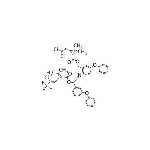 CC1(C)C(/C=C(\Cl)C(F)(F)F)C1C(=O)OC(C#N)c1cccc(Oc2ccccc2)c1.CC1(C)C(C=C(Cl)Cl)C1C(=O)OCc1cccc(Oc2ccccc2)c1